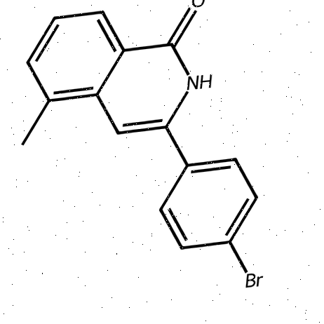 Cc1cccc2c(=O)[nH]c(-c3ccc(Br)cc3)cc12